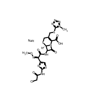 CO/N=C(\C(=O)NC1C(=O)N2C(C(=O)O)=C(CSc3nnnn3C)CS[C@H]12)c1csc(NC(=O)CCl)n1.[NaH]